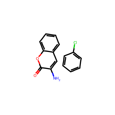 Clc1ccccc1.Nc1cc2ccccc2oc1=O